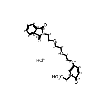 Cl.O=C(O)Cn1cc(NCCOCCOCCN2C(=O)c3ccccc3C2=O)ccc1=O